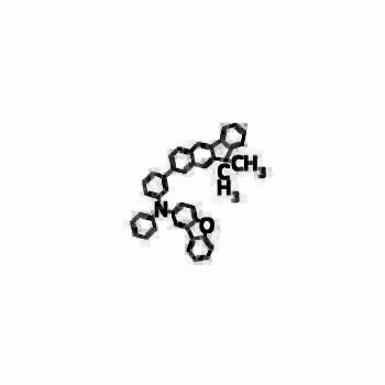 CC1(C)c2ccccc2-c2cc3ccc(-c4cccc(N(c5ccccc5)c5ccc6oc7ccccc7c6c5)c4)cc3cc21